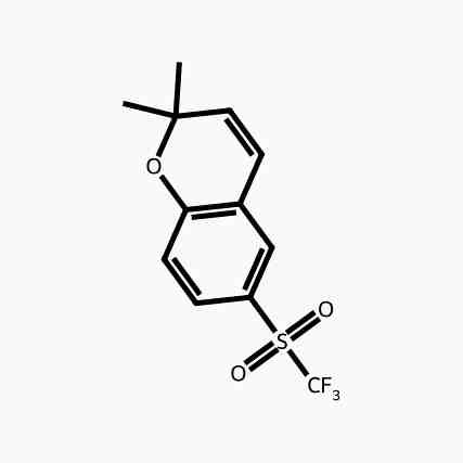 CC1(C)C=Cc2cc(S(=O)(=O)C(F)(F)F)ccc2O1